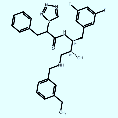 CCc1cccc(CNC[C@@H](O)[C@H](Cc2cc(F)cc(F)c2)NC(=O)C(Cc2ccccc2)n2cnnn2)c1